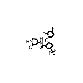 O=C(Nc1cc[nH]c(=O)c1)c1cc(C(F)(F)F)ccc1Oc1ccc(F)cc1F